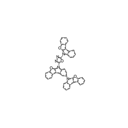 c1ccc2c(c1)oc1c2c2ccccc2n1-c1ccc2c(c1)c1c3ccccc3oc1n2-c1nnc(-n2c3ccccc3c3c4ccccc4oc32)o1